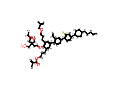 C=C(C)COCCCc1cc(-c2ccc(-c3ccc(C4CCC(CCCCC)CC4)cc3F)cc2CC)cc(CCCOC(=O)C(=C)C)c1OCCC(CO)(CO)CCCC